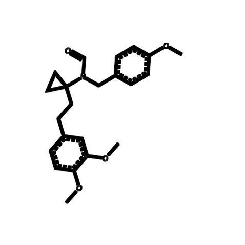 COc1ccc(CN(C=O)C2(CCc3ccc(OC)c(OC)c3)CC2)cc1